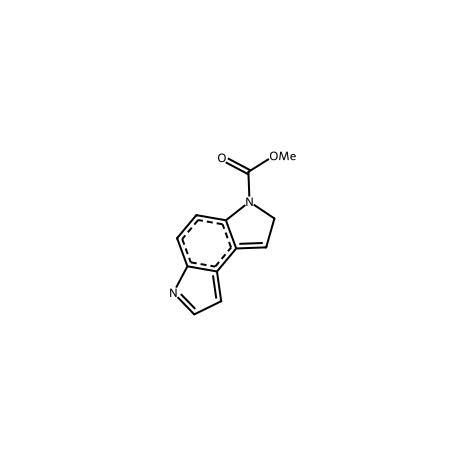 COC(=O)N1CC=c2c1ccc1c2=CC=N1